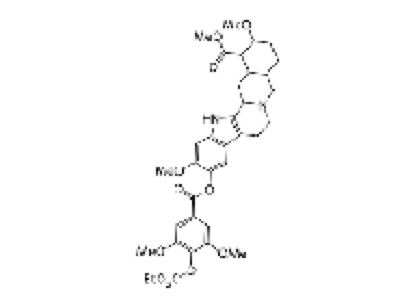 CCOC(=O)Oc1c(OC)cc(C(=O)Oc2cc3c4c([nH]c3cc2OC)C2CC3C(CCC(OC)C3C(=O)OC)CN2CC4)cc1OC